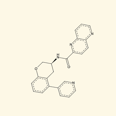 O=C(N[C@@H]1COc2cccc(-c3cccnc3)c2C1)c1ccc2ncccc2n1